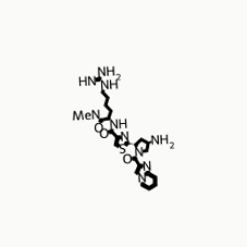 CNC(=O)C(CCCCNC(=N)N)NC(=O)c1csc([C@@H]2C[C@@H](N)CN2C(=O)c2cn3ccccc3n2)n1